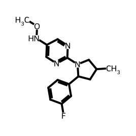 CONc1cnc(N2CC(C)CC2c2cccc(F)c2)nc1